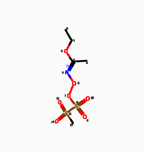 CCO/C(C)=N/OOS(=O)(=O)S(C)(=O)=O